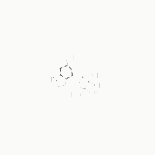 Cc1cc2c(c(B3OC(C)(C)C(C)(C)O3)c1)CCN2